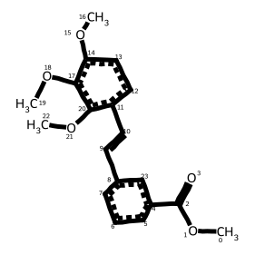 COC(=O)c1cccc(C=Cc2ccc(OC)c(OC)c2OC)c1